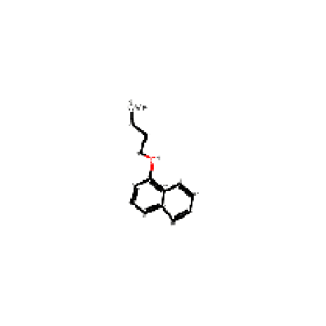 COCCCOc1c[c]cc2ccccc12